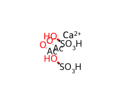 CC(=O)[O-].CC(=O)[O-].O=S(=O)(O)O.O=S(=O)(O)O.[Ca+2]